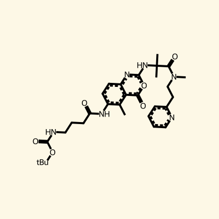 Cc1c(NC(=O)CCCNC(=O)OC(C)(C)C)ccc2nc(NC(C)(C)C(=O)N(C)CCc3ccccn3)oc(=O)c12